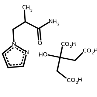 CC(Cn1cccn1)C(N)=O.O=C(O)CC(O)(CC(=O)O)C(=O)O